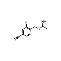 CC(=N)OCc1ccc(C#N)cc1F